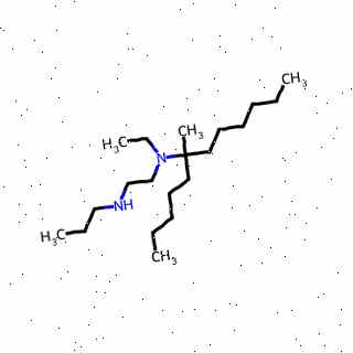 CCCCCCC(C)(CCCCC)N(CC)CCNCCC